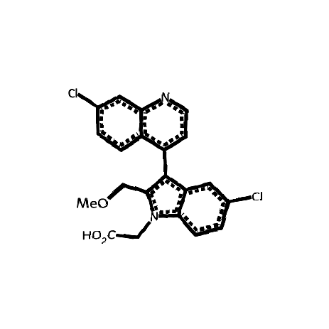 COCc1c(-c2ccnc3cc(Cl)ccc23)c2cc(Cl)ccc2n1CC(=O)O